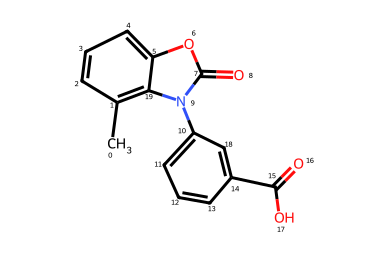 Cc1cccc2oc(=O)n(-c3cccc(C(=O)O)c3)c12